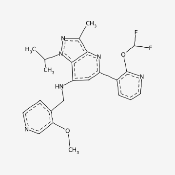 COc1cnccc1CNc1cc(-c2cccnc2OC(F)F)nc2c(C)nn(C(C)C)c12